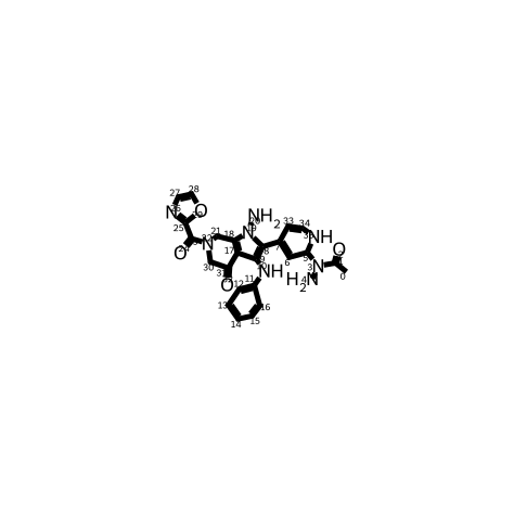 CC(=O)N(N)C1C=C(c2c(Nc3ccccc3)c3c(n2N)CN(C(=O)c2ncco2)CC3=O)C=CN1